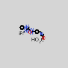 CC(C)CNc1c(-c2nc(-c3ccc(CN4CC(OC(=O)O)C4)cc3)no2)cnn1-c1ccccc1